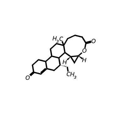 CC[C@@H]1CC2=CC(=O)CCC2C2CCC3(C)CCCC(=O)O[C@@H]4C[C@@H]4C3C21